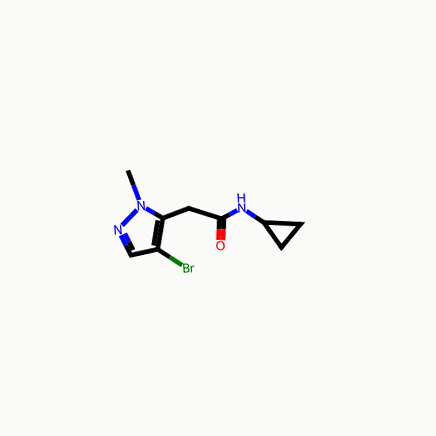 Cn1ncc(Br)c1CC(=O)NC1CC1